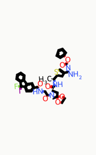 C[C@@H](NC(=O)[C@@H]1CC2(CN1C(=O)CNC(=O)c1ccc3c(c1)-c1ccccc1C3(F)I)OCCO2)C1CC(/C(N)=N\C(=O)Oc2ccccc2)=CS1